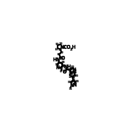 Cc1ncc(NC(=O)CCC2CCCN2C(=O)O)cc1NC(=O)c1cnn2cc(-c3cnn(C)c3)sc12